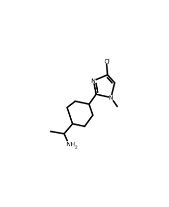 CC(N)C1CCC(c2nc(Cl)cn2C)CC1